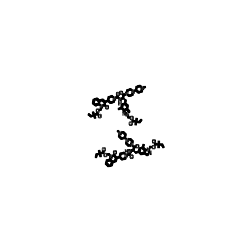 CCC(C)(C)C(=O)OCn1cc2cc(C[C@@H](NC(=O)N3CCC(c4cc5ccccc5n(COC(=O)C(C)(C)CC)c4=O)CC3)C(=O)N3CCN(C4CCN(C)CC4)CC3)cc(C)c2n1.CCC(C)(C)C(=O)OCn1ncc2cc(C[C@@H](NC(=O)N3CCC(c4cc5ccccc5n(COC(=O)C(C)(C)CC)c4=O)CC3)C(=O)N3CCN(C4CCN(C)CC4)CC3)cc(C)c21